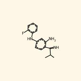 CC(C)C(=N)c1ccc(Nc2ccccc2F)cc1N